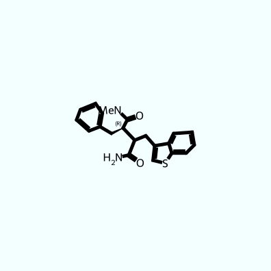 CNC(=O)[C@H](Cc1ccccc1)C(Cc1csc2ccccc12)C(N)=O